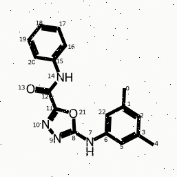 Cc1cc(C)cc(Nc2nnc(C(=O)Nc3ccccc3)o2)c1